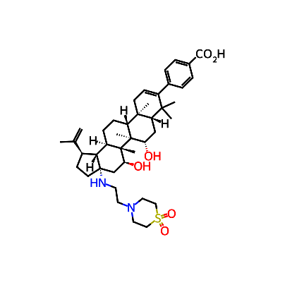 C=C(C)[C@@H]1CC[C@]2(NCCN3CCS(=O)(=O)CC3)C[C@H](O)[C@]3(C)[C@H](CC[C@@H]4[C@@]5(C)CC=C(c6ccc(C(=O)O)cc6)C(C)(C)[C@@H]5C[C@H](O)[C@]43C)[C@@H]12